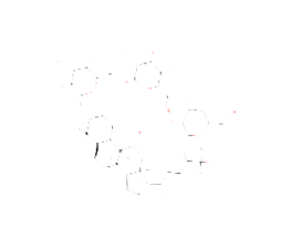 C[C@H](CC[C@@H](O[C@@H]1O[C@H](CO)[C@@H](O)[C@H](O)[C@H]1O)C(C)(C)O)[C@H]1CC[C@@]2(C)[C@@H]3CC=C4[C@@H](CC[C@H](O[C@@H]5O[C@H](CO[C@@H]6O[C@H](CO)[C@@H](O)[C@H](O)[C@H]6O)[C@@H](O)[C@H](O)[C@H]5O)C4(C)C)[C@]3(C)[C@H](O)C[C@]12C